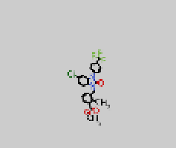 COC(=O)c1cccc(Cn2c(=O)n(-c3ccc(C(F)(F)F)cc3)c3cc(Cl)ccc32)c1C